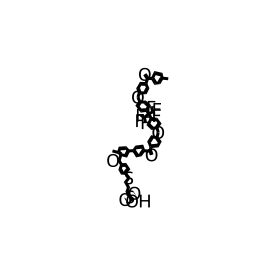 Cc1ccc(C(=O)c2ccc(Oc3ccc(C(c4ccc(Oc5ccc(C(=O)c6ccc(-c7ccc(C)c(C(=O)c8ccc(SCCCS(=O)(=O)O)cc8)c7)cc6)cc5)cc4)(C(F)(F)F)C(F)(F)F)cc3)cc2)cc1